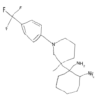 CC1(C2(N)CCCCC2N)CCCN(c2ccc(C(F)(F)F)cc2)C1